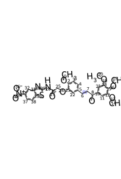 COc1ccc(/C=C/C(=O)c2cc(OC)c(OC)c(OC)c2)cc1OCC(=O)Nc1nc2cc([N+](=O)[O-])ccc2s1